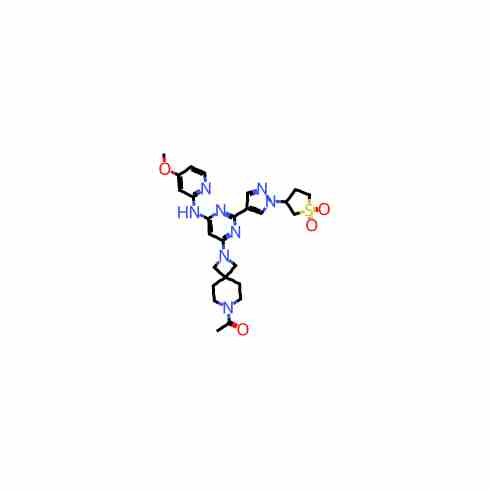 COc1ccnc(Nc2cc(N3CC4(CCN(C(C)=O)CC4)C3)nc(-c3cnn(C4CCS(=O)(=O)C4)c3)n2)c1